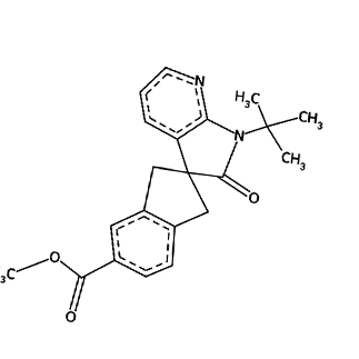 COC(=O)c1ccc2c(c1)CC1(C2)C(=O)N(C(C)(C)C)c2ncccc21